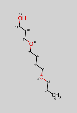 CCCOCCCCOCCCO